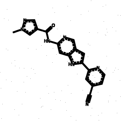 Cn1cc(C(=O)Nc2cc3[nH]c(-c4cc(C#N)ccn4)cc3cn2)cn1